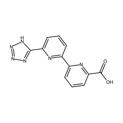 O=C(O)c1cccc(-c2cccc(-c3nnn[nH]3)n2)n1